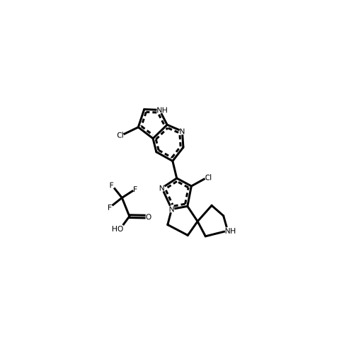 Clc1c(-c2cnc3[nH]cc(Cl)c3c2)nn2c1C1(CCNC1)CC2.O=C(O)C(F)(F)F